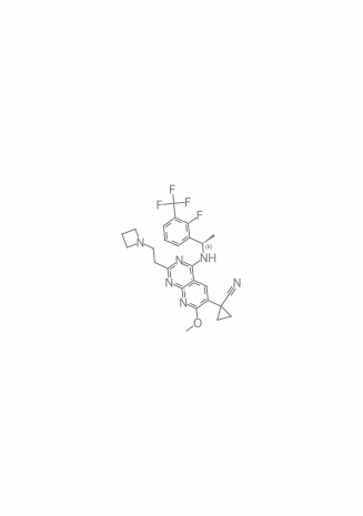 COc1nc2nc(CCN3CCC3)nc(N[C@H](C)c3cccc(C(F)(F)F)c3F)c2cc1C1(C#N)CC1